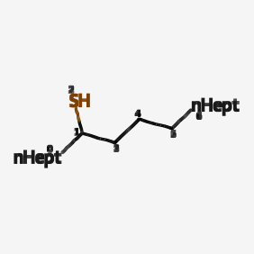 [CH2]CCCCCCC(S)CCCCCCCCCC